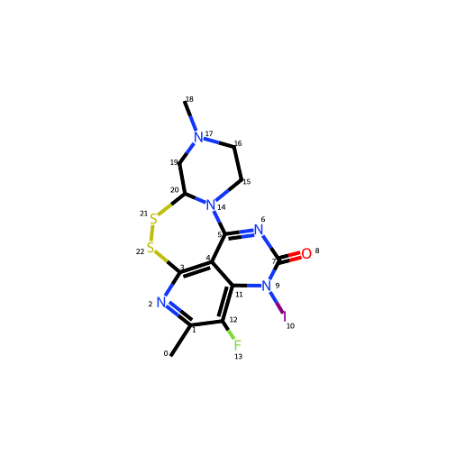 Cc1nc2c3c(nc(=O)n(I)c3c1F)N1CCN(C)CC1SS2